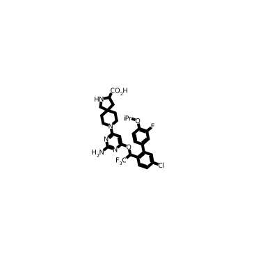 CC(C)Oc1ccc(-c2cc(Cl)ccc2C(Oc2cc(N3CCC4(CC3)CNC(C(=O)O)C4)nc(N)n2)C(F)(F)F)cc1F